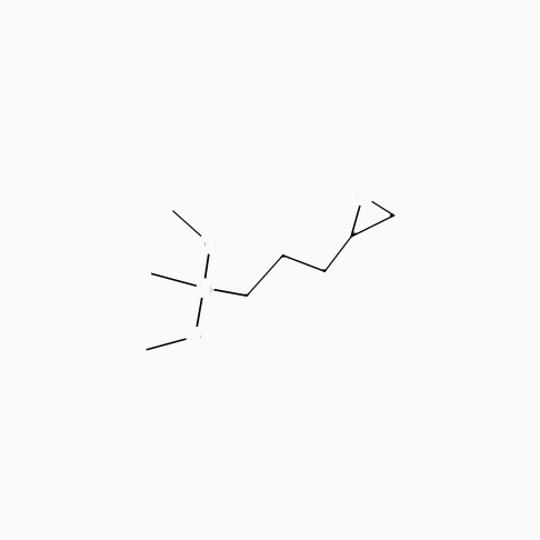 CO[Si](C)(CCCC1CO1)OC